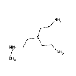 CNCCN(CCN)CCN